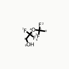 CC(F)(F)OC(F)(F)CO